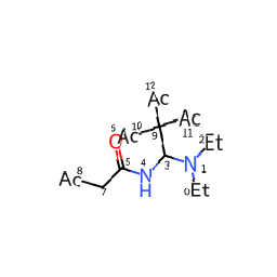 CCN(CC)C(NC(=O)CC(C)=O)C(C(C)=O)(C(C)=O)C(C)=O